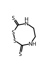 S=C1NCCNC(=S)SS1